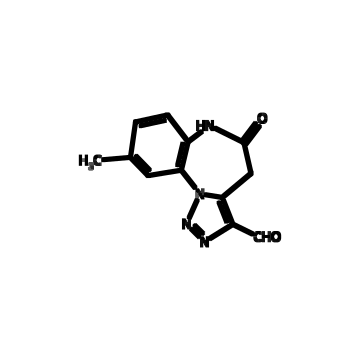 Cc1ccc2c(c1)-n1nnc(C=O)c1CC(=O)N2